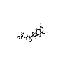 COC(=O)CCC(=O)c1cc2cc(O)c(OC)cc2s1